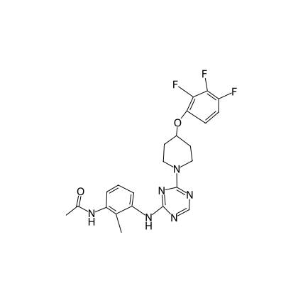 CC(=O)Nc1cccc(Nc2ncnc(N3CCC(Oc4ccc(F)c(F)c4F)CC3)n2)c1C